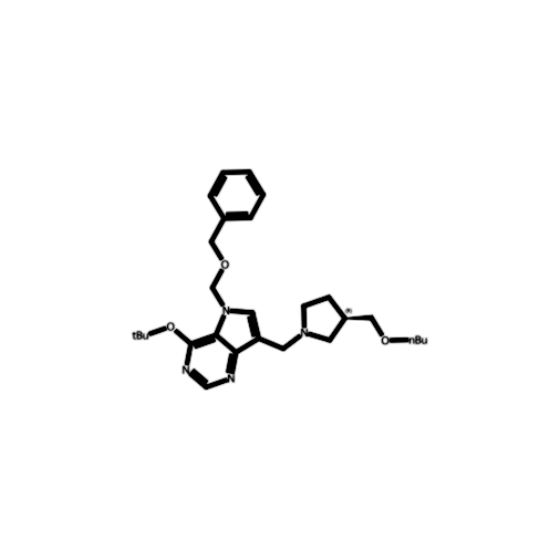 CCCCOC[C@@H]1CCN(Cc2cn(COCc3ccccc3)c3c(OC(C)(C)C)ncnc23)C1